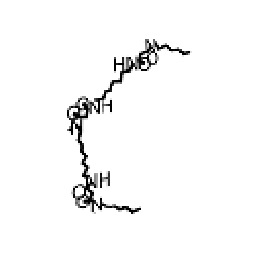 CCCCCCCN(C)C(=O)CC(=O)NCCCCCCCCNC(=O)CC(=O)N(C)CCCCCCCCNC(=O)CC(=O)N(C)CCCCCCC